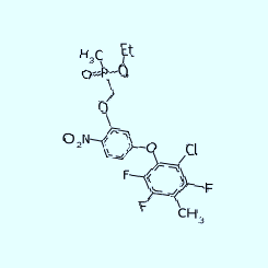 CCOP(C)(=O)COc1cc(Oc2c(F)c(F)c(C)c(F)c2Cl)ccc1[N+](=O)[O-]